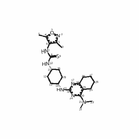 Cc1noc(C)c1NC(=S)N[C@H]1CC[C@@H](Nc2nc3c(c(N(C)C)n2)CCCC3)CC1